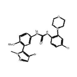 COc1ccc(NC(=O)Nc2ccc(Cl)cc2N2CCOCC2)cc1-c1c(Br)cnn1C